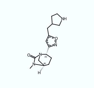 CN1C(=O)N2C[C@H]1CC[C@H]2c1cc(CC2CCNC2)on1